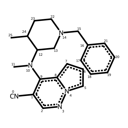 [C-]#[N+]c1cnn2cccc2c1N(C)C1CN(Cc2ccccc2)CCC1C